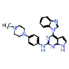 CN1CCN(c2ccc(Nc3nc(-n4cnc5ccccc54)c4cc[nH]c4n3)cc2)CC1